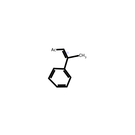 CC(=O)/C=C(/C)c1ccccc1